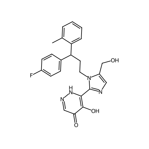 Cc1ccccc1C(CCn1c(CO)cnc1-c1[nH]ncc(=O)c1O)c1ccc(F)cc1